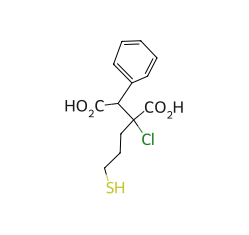 O=C(O)C(c1ccccc1)C(Cl)(CCCS)C(=O)O